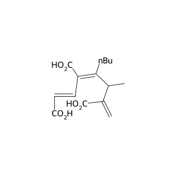 C=C(C(=O)O)C(C)C(CCCC)=C(C=CC(=O)O)C(=O)O